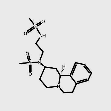 CS(=O)(=O)NCCN([C@@H]1CCN2CCc3ccccc3[C@@H]2C1)S(C)(=O)=O